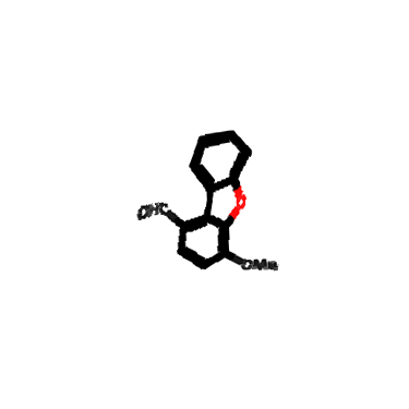 COc1ccc(C=O)c2c1oc1ccccc12